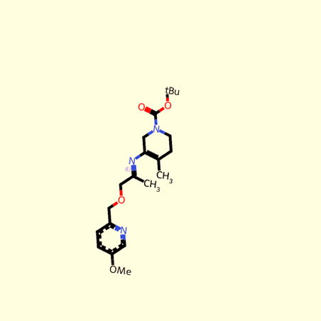 COc1ccc(COC/C(C)=N/C2=C(C)CCN(C(=O)OC(C)(C)C)C2)nc1